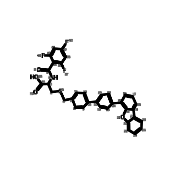 O=C(NC(CSCc1ccc(-c2ccc(-c3cccc4c3oc3ccccc34)cc2)cc1)C(=O)O)c1c(F)cc(F)cc1F